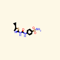 NS(=O)(=O)c1ccc(NC(=O)Nc2ncc(C3CC3)s2)cc1